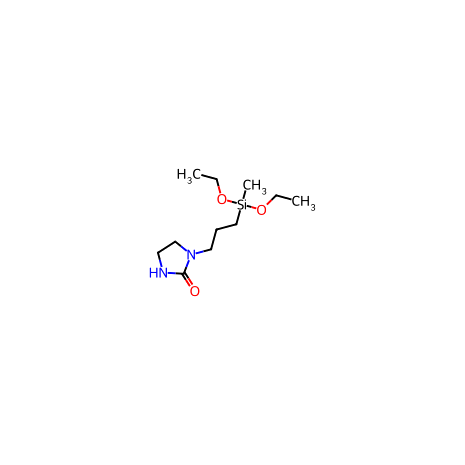 CCO[Si](C)(CCCN1CCNC1=O)OCC